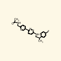 CC(=O)NCc1ccc(-c2ccc(NCC(C)c3ccc(F)cc3)nn2)cn1